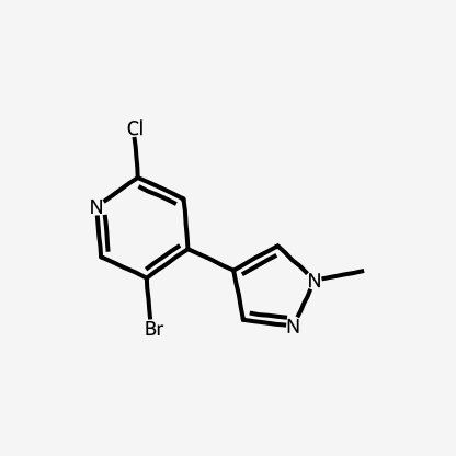 Cn1cc(-c2cc(Cl)ncc2Br)cn1